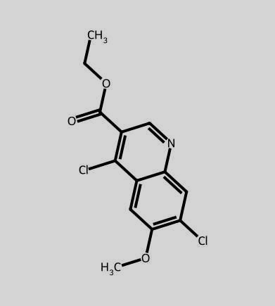 CCOC(=O)c1cnc2cc(Cl)c(OC)cc2c1Cl